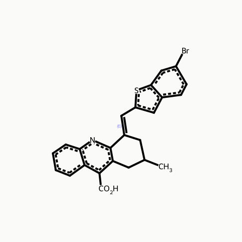 CC1C/C(=C\c2cc3ccc(Br)cc3s2)c2nc3ccccc3c(C(=O)O)c2C1